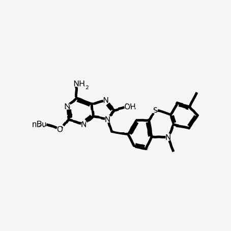 CCCCOc1nc(N)c2nc(O)n(Cc3ccc4c(c3)Sc3cc(C)ccc3N4C)c2n1